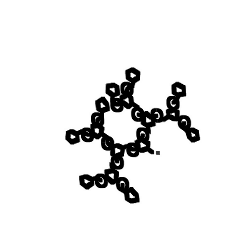 [CH2]c1cc(OCc2cc(OCc3cc(OCc4ccccc4)cc(OCc4ccccc4)c3)cc(OCc3cc(OCc4ccccc4)cc(OCc4ccccc4)c3)c2)cc(OCc2cc(OCc3cc(OCc4ccccc4)cc(OCc4ccccc4)c3)cc(OCc3cc(OCc4ccccc4)cc(OCc4ccccc4)c3)c2)c1